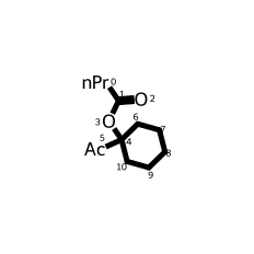 CCCC(=O)OC1(C(C)=O)CCCCC1